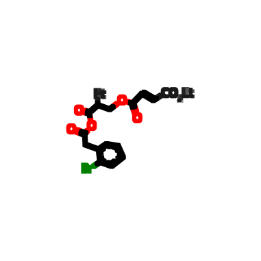 CCOC(=O)/C=C/C(=O)OCC(CC)C(=O)OC(=O)Cc1ccccc1Br